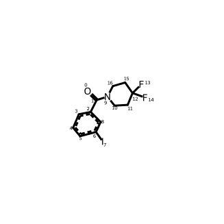 O=C(c1cccc(I)c1)N1CCC(F)(F)CC1